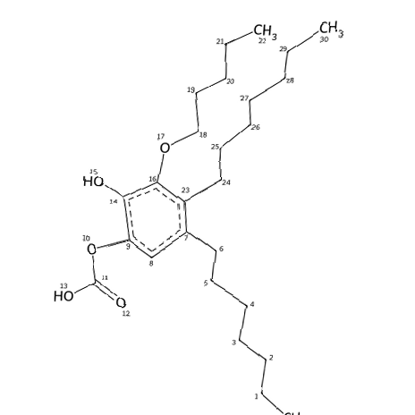 CCCCCCCc1cc(OC(=O)O)c(O)c(OCCCCC)c1CCCCCCC